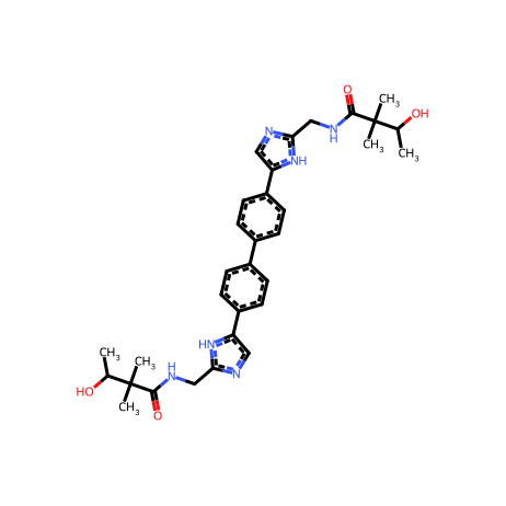 CC(O)C(C)(C)C(=O)NCc1ncc(-c2ccc(-c3ccc(-c4cnc(CNC(=O)C(C)(C)C(C)O)[nH]4)cc3)cc2)[nH]1